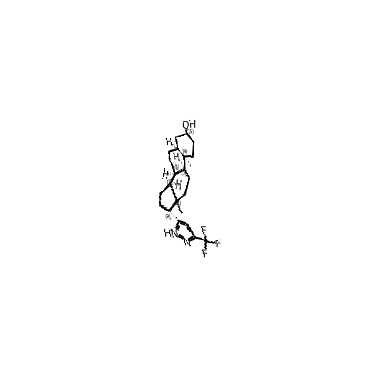 C[C@@]12CC[C@H](O)C[C@@H]1CC[C@H]1[C@@H]2CC[C@]2(C)[C@H](c3cc(C(F)(F)F)n[nH]3)CC[C@@H]12